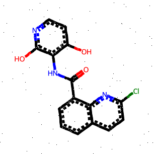 O=C(Nc1c(O)ccnc1O)c1cccc2ccc(Cl)nc12